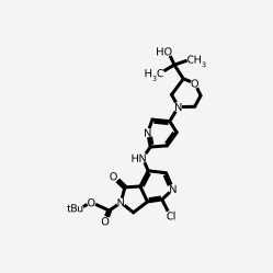 CC(C)(C)OC(=O)N1Cc2c(Cl)ncc(Nc3ccc(N4CCOC(C(C)(C)O)C4)cn3)c2C1=O